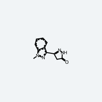 Cn1nc(C2=NNC(=O)C2)c2ccccc21